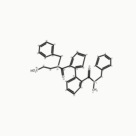 CN(Cc1ccccc1)C(=O)c1ccccc1-c1ccccc1C(=O)N(CCC(=O)O)Cc1ccccc1